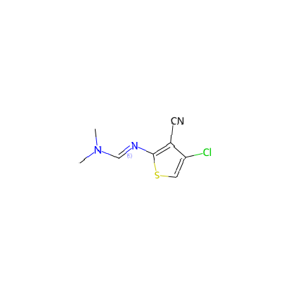 CN(C)/C=N/c1scc(Cl)c1C#N